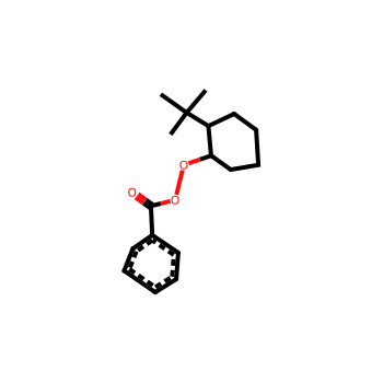 CC(C)(C)C1CCCC[C]1OOC(=O)c1ccccc1